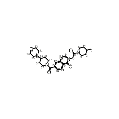 CC1CCN(C(=O)Cn2cnc3cc(C(=O)N4CCC(N5CCOCC5)CC4)ccc3c2=O)CC1